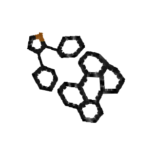 c1cc2cccc3c4cccc5cccc(c(c1)c23)c54.c1ccc(-c2ccsc2-c2ccccc2)cc1